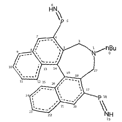 CCCCN1Cc2c(P=N)cc3ccccc3c2-c2c(c(P=N)cc3ccccc23)C1